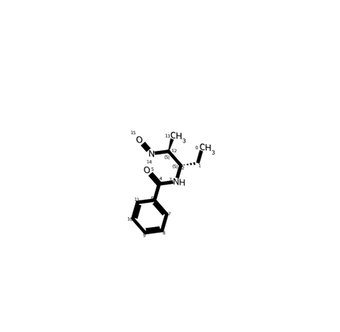 CC[C@H](NC(=O)c1ccccc1)[C@H](C)N=O